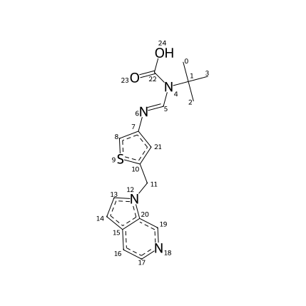 CC(C)(C)N(C=Nc1csc(Cn2ccc3ccncc32)c1)C(=O)O